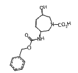 O=C(N[C@H]1CCC(O)CN(C(=O)O)C1)OCc1ccccc1